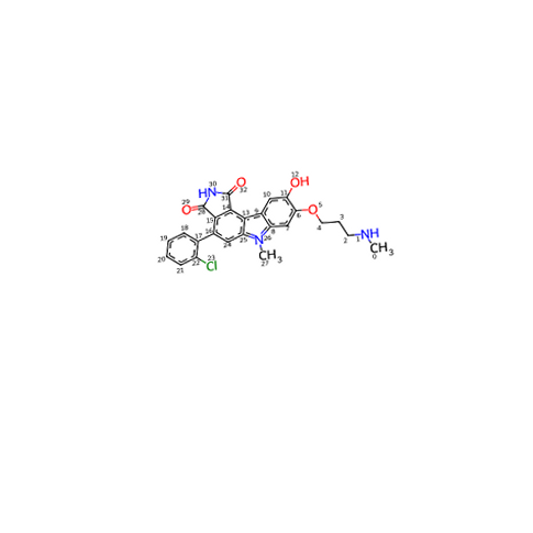 CNCCCOc1cc2c(cc1O)c1c3c(c(-c4ccccc4Cl)cc1n2C)C(=O)NC3=O